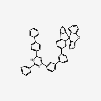 c1ccc(C2=NC(c3cccc(-c4cccc(-c5ccc6c(c5)C5(c7ccccc7Oc7ccccc75)c5ccccc5-6)c4)c3)=NC(c3ccc(-c4ccccc4)cc3)N2)cc1